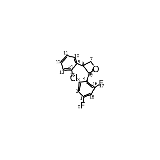 Fc1ccc([C@@H]2OCC2c2ccccc2Cl)c(F)c1